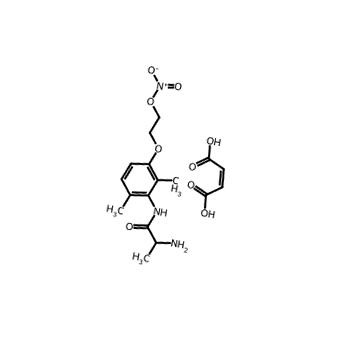 Cc1ccc(OCCO[N+](=O)[O-])c(C)c1NC(=O)C(C)N.O=C(O)/C=C\C(=O)O